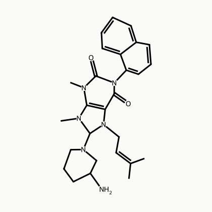 CC(C)=CCN1c2c(n(C)c(=O)n(-c3cccc4ccccc34)c2=O)N(C)C1N1CCCC(N)C1